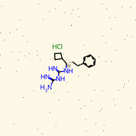 Cl.N=C(N)NC(=N)N[C@@H](CCc1ccccc1)C1CCC1